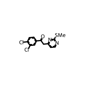 CSc1nccc(CC(=O)c2ccc(Cl)c(Cl)c2)n1